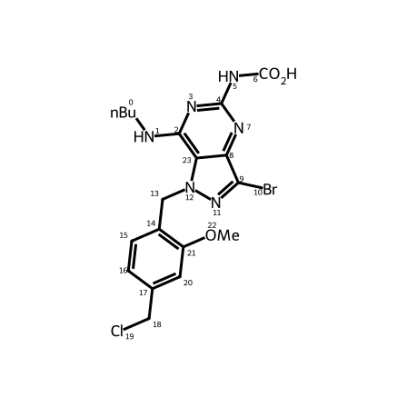 CCCCNc1nc(NC(=O)O)nc2c(Br)nn(Cc3ccc(CCl)cc3OC)c12